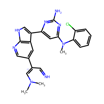 CN(C)/C=C(\C=N)c1cnc2[nH]cc(-c3cc(N(C)c4ccccc4Cl)nc(N)n3)c2c1